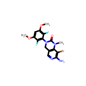 COc1cc(OC)c(F)c(N2Cc3cnc(N)c(Br)c3N(C)C2=O)c1F